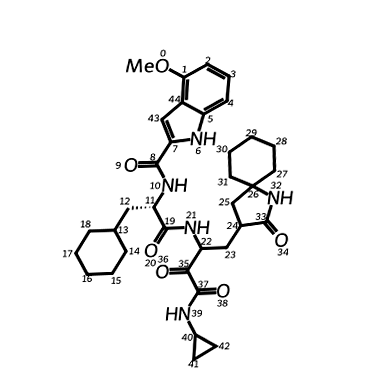 COc1cccc2[nH]c(C(=O)N[C@@H](CC3CCCCC3)C(=O)NC(CC3CC4(CCCCC4)NC3=O)C(=O)C(=O)NC3CC3)cc12